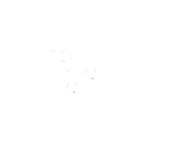 CCCc1ccc([I+]c2ccc(CCC)cc2)cc1.O=[N+]([O-])c1cc([N+](=O)[O-])cc(S(=O)(=O)[O-])c1